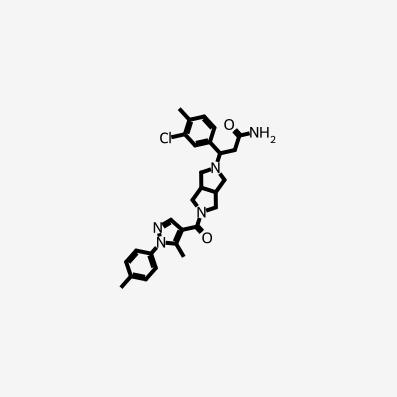 Cc1ccc(-n2ncc(C(=O)N3CC4CN(C(CC(N)=O)c5ccc(C)c(Cl)c5)CC4C3)c2C)cc1